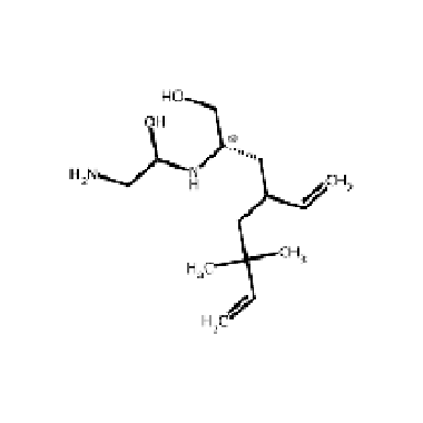 C=CC(C[C@@H](CO)NC(O)CN)CC(C)(C)C=C